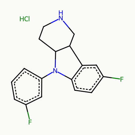 Cl.Fc1cccc(N2c3ccc(F)cc3C3CNCCC32)c1